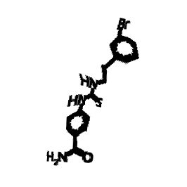 NC(=O)c1ccc(NC(=S)NCCc2cccc(Br)c2)cc1